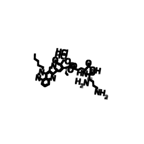 CCCCCN1C=Nc2cccc3nc4c(c1c23)Cn1c-4cc2c(c1=O)COC(=O)[C@@]2(CC)OC(=O)CC[C@H](NC(=O)[C@@H](N)CCCN)C(=O)O.Cl.Cl